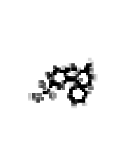 CS(=O)(=O)c1ncc2nn3c(c2n1)C1(CCCCC1)CNC3=O